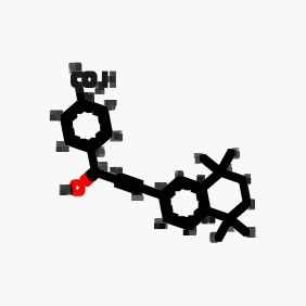 CC1(C)CCC(C)(C)c2cc(C#CC(=O)c3ccc(C(=O)O)cc3)ccc21